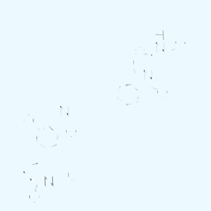 COc1cc(C2=CN(C)C(=O)N3CCOCC23)cc(OC)c1CN1CCC2(CC1)CC(c1ccc3c(c1)C(=O)N(C1CCC(=O)NC1=O)C3=O)C2